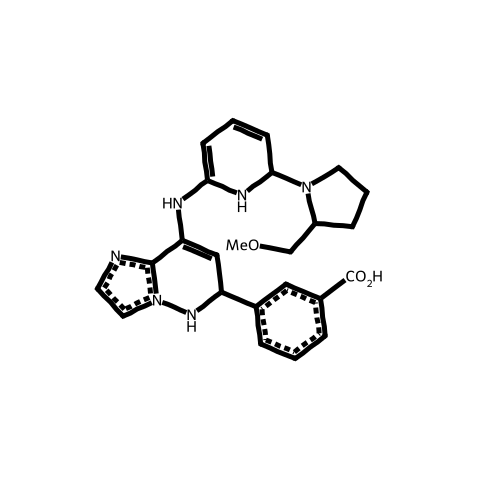 COCC1CCCN1C1C=CC=C(NC2=CC(c3cccc(C(=O)O)c3)Nn3ccnc32)N1